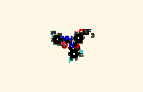 O=C(CN(Cc1cc(F)cc(F)c1)C(=O)c1ccc(OC(F)(F)F)cc1)Nc1cccc(F)c1